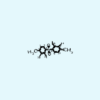 Cc1ccc(S(=O)(=O)c2ccc(C)c(I)c2I)c(I)c1I